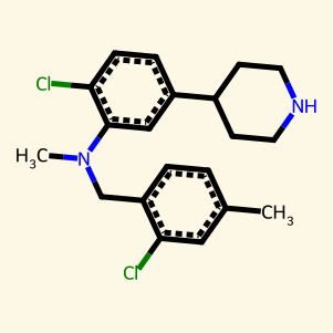 Cc1ccc(CN(C)c2cc(C3CCNCC3)ccc2Cl)c(Cl)c1